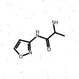 CC(S)C(=O)Nc1ccon1